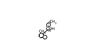 CC1C=CC=C2CCCCC23CC=C(/C(CN2CCN(C)CC2)=N/O)C=C13